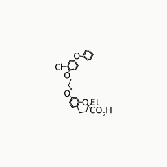 CCC1(C(=O)O)CCc2ccc(OCCCOc3ccc(Oc4ccccc4)cc3Cl)cc2O1